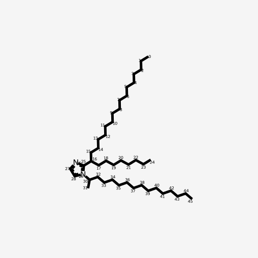 CCCCCCCCCCCCCCCCC(CCCCCCCC)c1nccn1C(C)CCCCCCCCCCCCCC